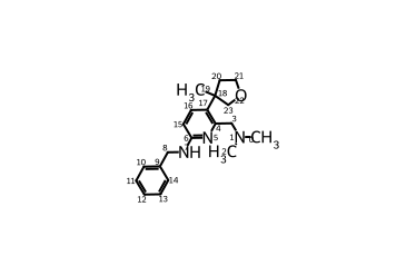 CN(C)Cc1nc(NCc2ccccc2)ccc1C1(C)CCOC1